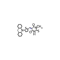 CN1C(=O)/C(=C/c2ccc(N3c4ccccc4Cc4ccccc43)s2)C(=O)NC1=S